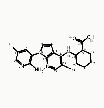 Nc1ncc(F)cc1-n1ccc2c(NC3CCCC[C@@H]3C(=O)O)c(F)cnc21